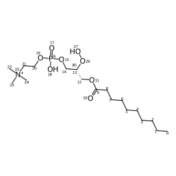 CCCCCCCCCC(=O)OC[C@H](COP(=O)(O)OCC[N+](C)(C)C)OO